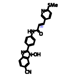 CSc1ccc(/C=C/C(=O)Nc2ccc(-c3nc4ccc(C#N)cc4n3O)cc2)cn1